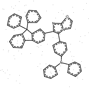 c1ccc(N(c2ccccc2)c2ccc(-c3c(-c4ccc5c(c4)C(c4ccccc4)(c4ccccc4)c4ccccc4-5)nc4occn34)cc2)cc1